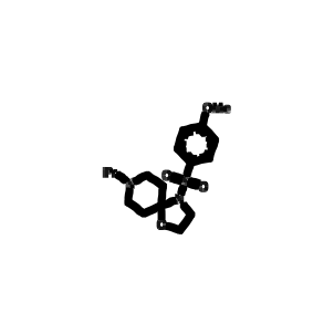 COc1ccc(S(=O)(=O)N2CCOC23CCN(C(C)C)CC3)cc1